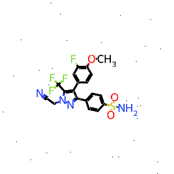 COc1ccc(-c2c(-c3ccc(S(N)(=O)=O)cc3)nn(CC#N)c2C(F)(F)F)cc1F